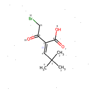 CC(C)(C)/C=C(\C(=O)O)C(=O)CBr